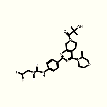 CC1COCCN1c1nc(-c2ccc(NC(=O)N(I)CC(F)F)cc2)nc2c1CCN(C(=O)C(C)(C)O)C2